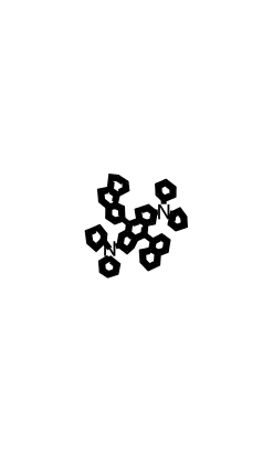 c1ccc(N(c2ccccc2)c2ccc3c(-c4cccc5ccccc45)c4cc(N(c5ccccc5)c5ccccc5)ccc4c(-c4ccc5ccc6ccccc6c5c4)c3c2)cc1